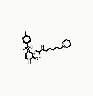 Cc1ccc(S(=O)(=O)N2C=CNC(=O)[C@H]2CC(=O)NCCCCCN2CCCCC2)cc1